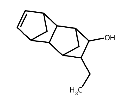 CCC1C(O)C2CC1C1C3C=CC(C3)C21